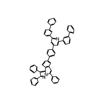 c1ccc(-c2cccc(-c3cc(-c4ccc(-c5ccc6c(c5)cc(-c5ccccc5)n5nc(-c7ccccc7)c(-c7ccccc7)c65)cc4)cc(-c4cccc(-c5ccccc5)c4)n3)c2)cc1